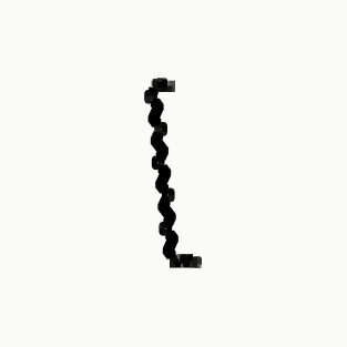 CNCCOCCOCCOCCOCCOC(C)(C)C